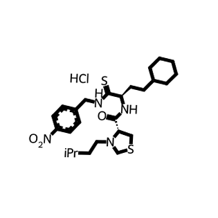 CC(C)CCN1CSC[C@H]1C(=O)N[C@H](CCC1CCCCC1)C(=S)NCc1ccc([N+](=O)[O-])cc1.Cl